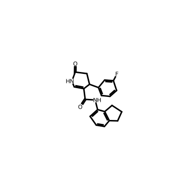 O=C1CC(c2cccc(F)c2)C(C(=O)Nc2cccc3c2CCC3)=CN1